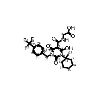 O=C(O)CNC(=O)c1c(O)n(C2(I)CCCCC2)c(=O)n(Cc2ccc(C(F)(F)F)cc2)c1=O